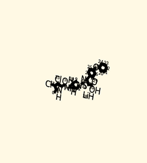 Cc1[nH]c(C(=O)N[C@H]2[C@@H]3CN(c4nc(-c5ccc(Oc6ccccc6)cc5)c(C(=O)O)s4)C[C@@H]32)c(Cl)c1Cl.[LiH]